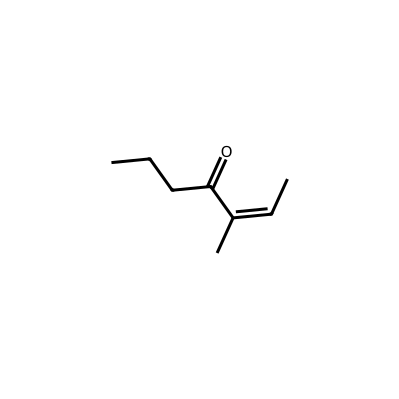 CC=C(C)C(=O)CCC